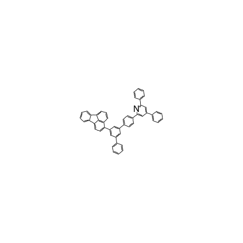 c1ccc(-c2cc(-c3ccc(-c4cc(-c5ccccc5)cc(-c5ccccc5)n4)cc3)cc(-c3ccc4c5c(cccc35)-c3ccccc3-4)c2)cc1